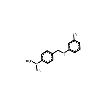 CCOC(=O)N(N)c1ccc(CNc2cccc(C(F)(F)F)c2)cc1